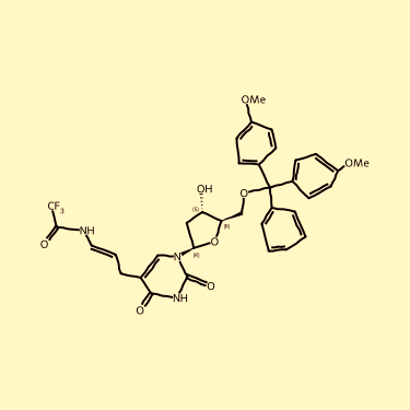 COc1ccc(C(OC[C@H]2O[C@@H](n3cc(CC=CNC(=O)C(F)(F)F)c(=O)[nH]c3=O)C[C@@H]2O)(c2ccccc2)c2ccc(OC)cc2)cc1